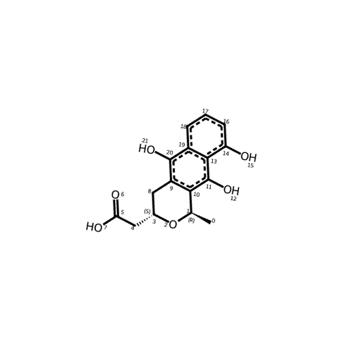 C[C@H]1O[C@H](CC(=O)O)Cc2c1c(O)c1c(O)cccc1c2O